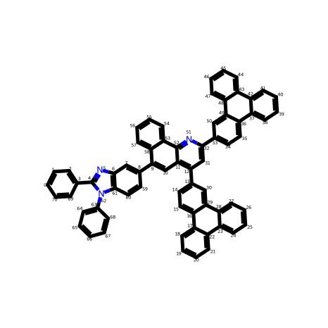 c1ccc(-c2nc3cc(-c4cc5c(-c6ccc7c8ccccc8c8ccccc8c7c6)cc(-c6ccc7c8ccccc8c8ccccc8c7c6)nc5c5ccccc45)ccc3n2-c2ccccc2)cc1